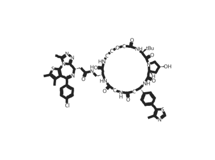 Cc1ncsc1-c1ccc([C@@H]2CC(=O)NCC(=O)N[C@H](CNC(=O)C[C@@H]3N=C(c4ccc(Cl)cc4)c4c(sc(C)c4C)-n4c(C)nnc43)C(=O)NCCOCC(=O)N[C@@H](C(C)(C)C)C(=O)N3C[C@H](O)C[C@H]3C(=O)N2)cc1